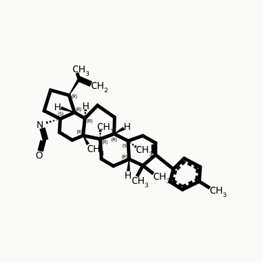 C=C(C)[C@@H]1CC[C@]2(N=C=O)CC[C@]3(C)[C@H](CC[C@@H]4[C@@]5(C)CC=C(c6ccc(C)cc6)C(C)(C)[C@@H]5CC[C@]43C)[C@@H]12